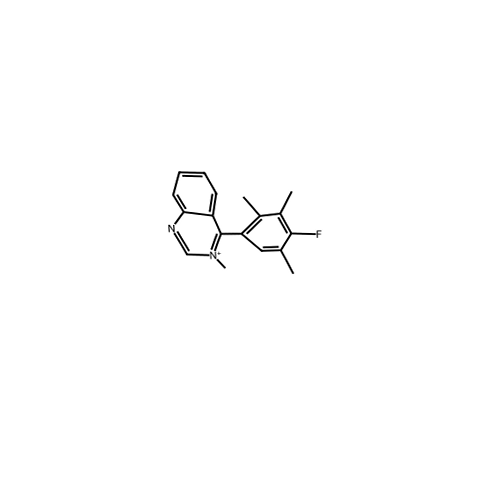 Cc1cc(-c2c3ccccc3nc[n+]2C)c(C)c(C)c1F